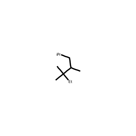 [CH2]C(C)CC(C)C(C)(C)CC